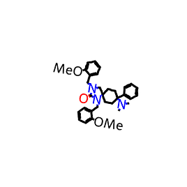 COc1ccccc1CN1CC2(CCC(c3ccccc3)(N(C)C)CC2)N(Cc2ccccc2OC)C1=O